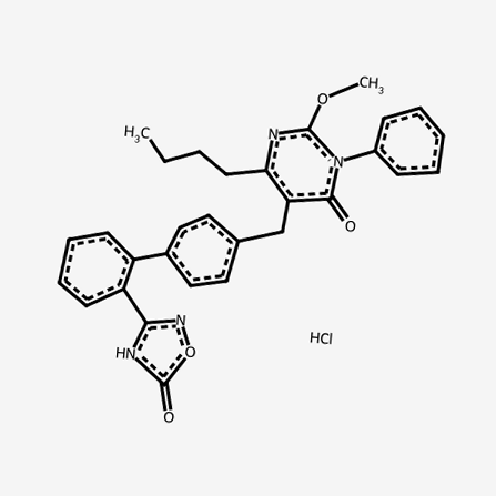 CCCCc1nc(OC)n(-c2ccccc2)c(=O)c1Cc1ccc(-c2ccccc2-c2noc(=O)[nH]2)cc1.Cl